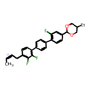 C/C=C\Cc1ccc(-c2ccc(-c3ccc(C4OCC(CC)CO4)cc3F)cc2)c(F)c1F